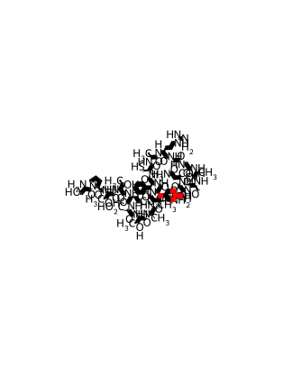 C[C@H](NC(=O)CNC(=O)CNC(=O)[C@H](CCCNC(=N)N)NC(=O)[C@H](C)NC(=O)[C@H](CS)NC(=O)[C@H](Cc1ccccc1)NC(=O)[C@H](Cc1ccc(O)cc1)NC(=O)[C@@H](NC(=O)[C@H](C)NC(=O)[C@@H](NC(=O)[C@H](CC(=O)O)NC(=O)[C@H](CCC(=O)O)NC(=O)[C@@H](NC(=O)[C@@H](NC(=O)[C@@H]1CCCN1C(=O)[C@@H](N)CO)[C@@H](C)O)[C@@H](C)O)[C@@H](C)O)[C@@H](C)O)C(=O)N[C@@H](CO)C(=O)N[C@@H](CC(N)=O)C(=O)N[C@@H](CC(N)=O)C(=O)O